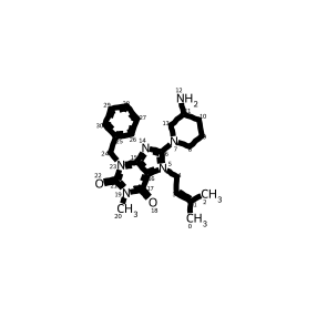 CC(C)=CCn1c(N2CCCC(N)C2)nc2c1c(=O)n(C)c(=O)n2Cc1ccccc1